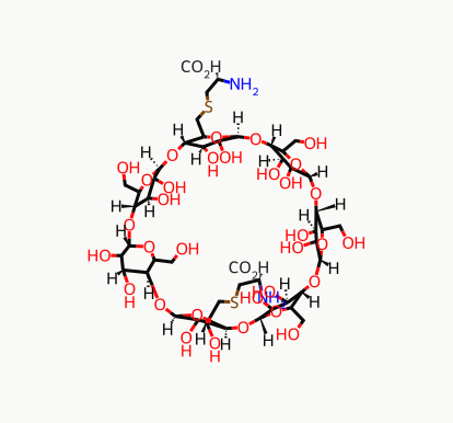 N[C@H](CSCC1O[C@@H]2O[C@@H]3C(CO)O[C@@H](O[C@@H]4C(CO)O[C@@H](O[C@@H]5C(CSC[C@@H](N)C(=O)O)O[C@@H](O[C@@H]6C(CO)O[C@H](O[C@@H]7C(CO)O[C@H](O[C@@H]8C(CO)O[C@H](O[C@H]1[C@H](O)C2O)C(O)[C@H]8O)C(O)[C@H]7O)C(O)[C@H]6O)C(O)[C@H]5O)C(O)[C@H]4O)C(O)[C@H]3O)C(=O)O